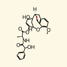 COc1ccc2c3c1O[C@@H]1C[C@@](O)(CC=C1OC(=O)[C@H](C)NC(=O)[C@@H](O)c1ccccc1)[C@H](CCCC3)C2